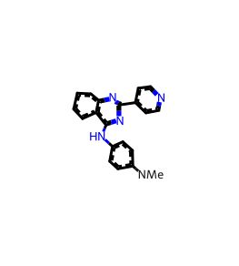 CNc1ccc(Nc2nc(-c3ccncc3)nc3ccccc23)cc1